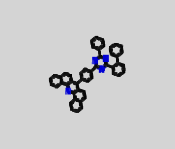 c1ccc(-c2nc(-c3ccc(-c4c5ccc6ccccc6c5nc5c4ccc4ccccc45)cc3)nc(-c3ccccc3-c3ccccc3)n2)cc1